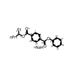 CCCC(CC)OC(=O)c1ccc(C(=O)Oc2ccccc2)cc1.[NaH]